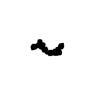 Cc1c(OCc2ccccc2)c(=O)ccn1C1CCC(CC2CCC(n3ccc(=O)c(OCc4ccccc4)c3C)CC2)CC1